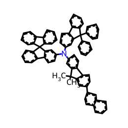 CC1(C)c2cc(-c3ccc4ccccc4c3)ccc2-c2ccc(N(c3ccc4c(c3)C(c3ccccc3)(c3ccccc3)c3ccccc3-4)c3ccc4c(c3)C3(c5ccccc5-c5ccccc53)c3ccccc3-4)cc21